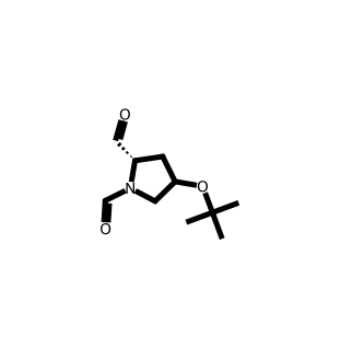 CC(C)(C)OC1C[C@@H](C=O)N(C=O)C1